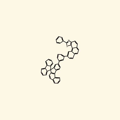 c1ccc(-c2nc3ccc4ccc5ccc(-c6cccc(-c7ccc8c(c7)C7(c9ccccc9-c9ccccc97)c7ccc9ccccc9c7-8)c6)cc5c4c3s2)cc1